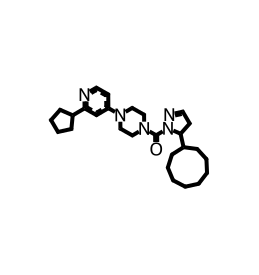 O=C(N1CCN(c2ccnc(C3CCCC3)c2)CC1)N1N=CCC1C1CCCCCCCC1